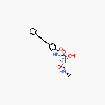 O=C(CNC1CC1)NC[C@H](NC(=O)c1ccc(C#CC#CC2=CCCC=C2)cc1)C(=O)NO